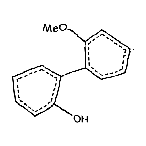 COc1c[c]ccc1-c1ccccc1O